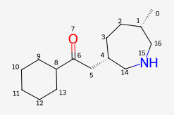 C[C@H]1CC[C@@H](CC(=O)C2CCCCC2)CNC1